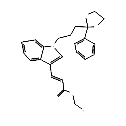 CCOC(=O)C=Cc1cn(CCCC2(c3ccccc3)OCCO2)c2ccccc12